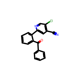 N#Cc1cc(-c2ccccc2C(=O)c2ccccc2)ncc1Cl